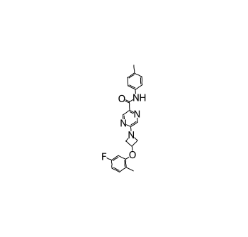 Cc1ccc(NC(=O)c2cnc(N3CC(Oc4cc(F)ccc4C)C3)cn2)cc1